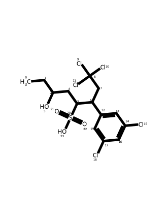 CCC(O)CC(C(CC(Cl)(Cl)Cl)c1cc(Cl)cc(Cl)c1)S(=O)(=O)O